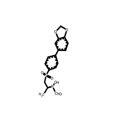 CC(CS(=O)(=O)c1ccc(-c2ccc3c(c2)OCO3)cc1)N(O)C=O